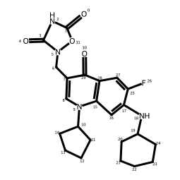 O=c1[nH]c(=O)n(Cc2cn(C3CCCC3)c3cc(NC4CCCCC4)c(F)cc3c2=O)o1